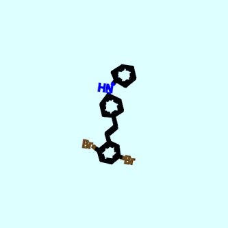 Brc1ccc(Br)c(C=Cc2ccc(Nc3ccccc3)cc2)c1